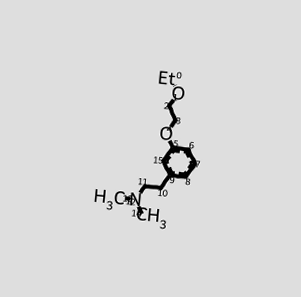 CCOCCOc1cccc(CCN(C)C)c1